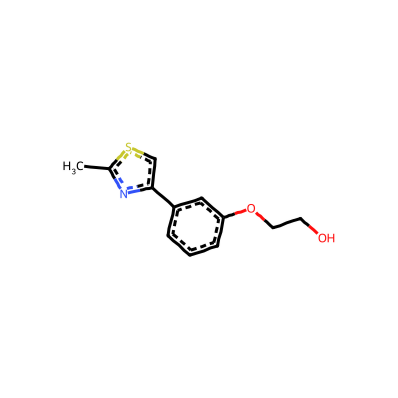 Cc1nc(-c2cccc(OCCO)c2)cs1